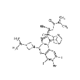 CN(C)C(=O)CCc1nc2c(N3CC(N(C)C)C3)nc3c(F)c(Br)c(I)cc3c2n1C1C2CC(C(=O)OC(C)(C)C)N1C2